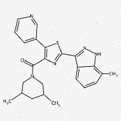 Cc1cccc2c(-c3nc(C(=O)N4CC(C)CC(C)C4)c(-c4cccnc4)s3)n[nH]c12